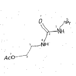 CCCNC(=O)NCCOC(C)=O